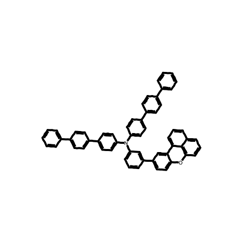 c1ccc(-c2ccc(-c3ccc(N(c4ccc(-c5ccc(-c6ccccc6)cc5)cc4)c4cccc(-c5ccc6c(c5)-c5cccc7cccc(c57)O6)c4)cc3)cc2)cc1